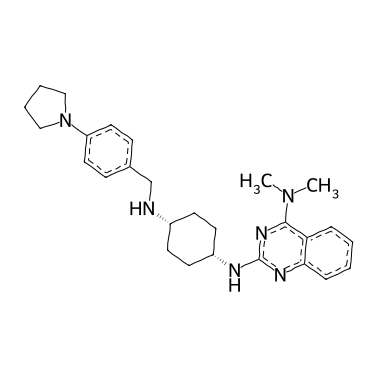 CN(C)c1nc(N[C@H]2CC[C@@H](NCc3ccc(N4CCCC4)cc3)CC2)nc2ccccc12